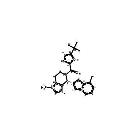 Cc1cccn2nc([C@@H]3c4ncn(P)c4CCN3C(=O)c3nnc(C(C)(C)C)o3)cc12